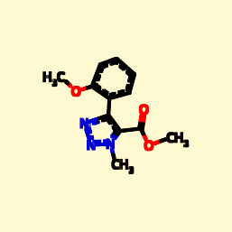 COC(=O)c1c(-c2ccccc2OC)nnn1C